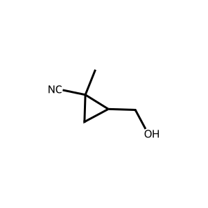 CC1(C#N)CC1CO